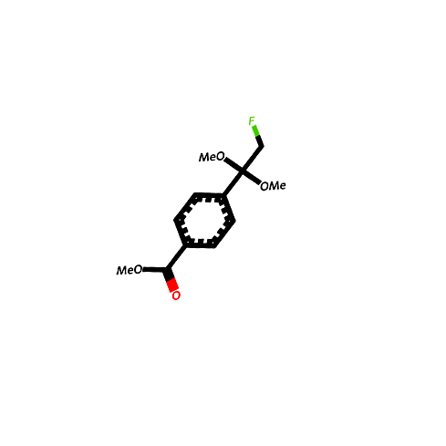 COC(=O)c1ccc(C(CF)(OC)OC)cc1